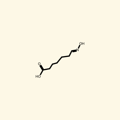 O=C(O)CCCCCC=NO